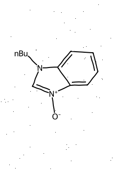 CCCCn1c[n+]([O-])c2ccccc21